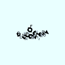 NC1(c2ccnc(-c3cnn(S(=O)(=O)C4CC4)c3)n2)C=C(NC2CCC(F)CC2)C(c2cnc(OC3CCOC3)cn2)=CN1